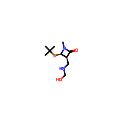 CN1C(=O)[C@@H](CNCO)[C@H]1SC(C)(C)C